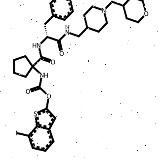 O=C(NC1(C(=O)N[C@H](Cc2ccccc2)C(=O)NCC2CCN(CC3CCOCC3)CC2)CCCC1)Oc1cc2cccc(I)c2s1